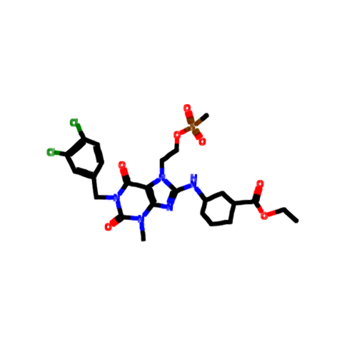 CCOC(=O)C1CCCC(Nc2nc3c(c(=O)n(Cc4ccc(Cl)c(Cl)c4)c(=O)n3C)n2CCOS(C)(=O)=O)C1